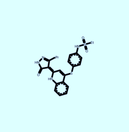 CCS(=O)(=O)Nc1ccc(SC2=CC(=C3C(=O)NN=C3C(C)C)Nc3ccccc32)cc1